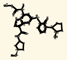 CO[C@H]1CCC(NC(=O)c2cnn3c(N(C)C(=O)OC(C)(C)C)cc(Nc4cccn(C5CCC[C@H]5O)c4=O)nc23)C1